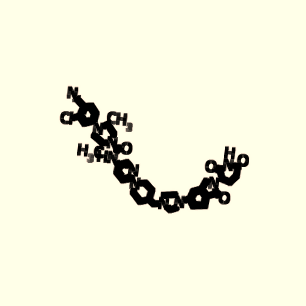 C[C@@H]1CN(c2ccc(C#N)c(Cl)c2)[C@@H](C)CN1C(=O)Nc1ccc(N2CCC(CN3CCN(c4ccc5c(c4)CN([C@H]4CCC(=O)NC4=O)C5=O)CC3)CC2)nc1